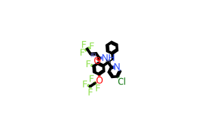 O=C(/C=C/C(F)(F)F)N[C@@](Cc1ccccc1)(c1cc(F)cc(OC(F)(F)C(F)F)c1)c1ccc(Cl)cn1